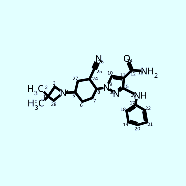 CC1(C)CN(C2CCC(n3cc(C(N)=O)c(Nc4ccccc4)n3)C(C#N)C2)C1